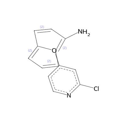 NC1=C\C=C/C=C(Oc2ccnc(Cl)c2)/C=C\1